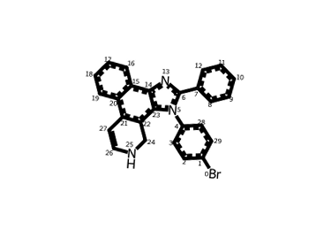 Brc1ccc(-n2c(-c3ccccc3)nc3c4ccccc4c4c(c32)CNC=C4)cc1